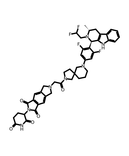 C[C@@H]1Cc2c([nH]c3ccccc23)[C@@H](c2c(F)cc(N3CCCC4(CCN(C(=O)CN5Cc6cc7c(cc6C5)C(=O)N(C5CCC(=O)NC5=O)C7=O)C4)C3)cc2F)N1CC(F)F